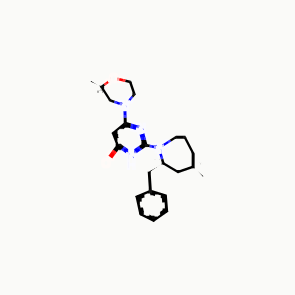 C[C@@H]1CCCN(c2nc(N3CCO[C@H](C)C3)cc(=O)[nH]2)[C@H](Cc2ccccc2)C1